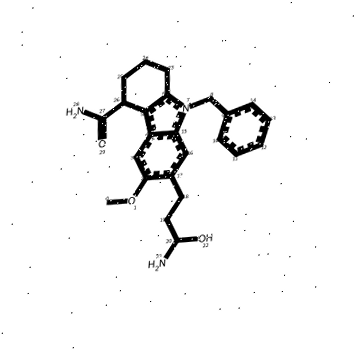 COc1cc2c3c(n(Cc4ccccc4)c2cc1CCC(N)O)CCCC3C(N)=O